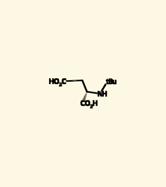 CC(C)(C)N[C@@H](CC(=O)O)C(=O)O